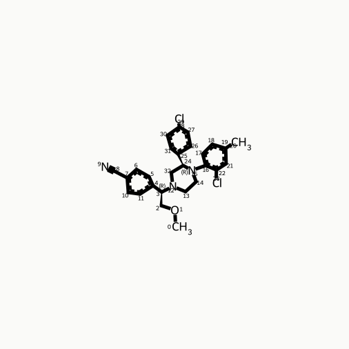 COC[C@@H](c1ccc(C#N)cc1)N1CCN(c2ccc(C)cc2Cl)[C@H](c2ccc(Cl)cc2)C1